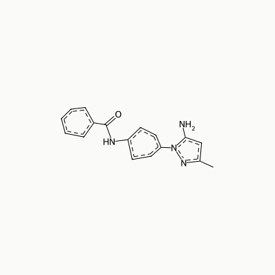 Cc1cc(N)n(-c2ccc(NC(=O)c3ccccc3)cc2)n1